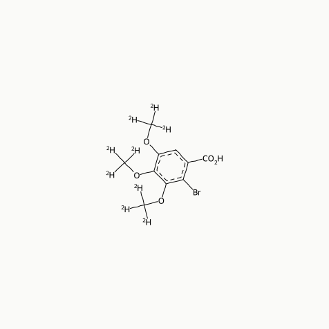 [2H]C([2H])([2H])Oc1cc(C(=O)O)c(Br)c(OC([2H])([2H])[2H])c1OC([2H])([2H])[2H]